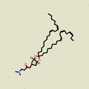 CC/C=C\C/C=C\C/C=C\CCCCCCCCC1(CCCCCCCC/C=C\C/C=C\CCCCC)O[C@H]2CC(CC(=O)CCN(C)C)C[C@H]2O1